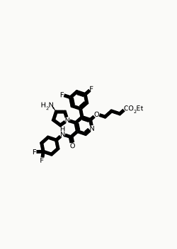 CCOC(=O)CCCOc1ncc(C(=O)NC2CCC(F)(F)CC2)c(N2CC[C@H](N)C2)c1-c1cc(F)cc(F)c1